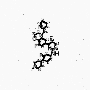 CN1CCC(c2ccc(Nc3ncc(F)c(-c4cc(F)c5c(c4)N(Cc4ccccn4)CCO5)n3)cc2F)CC1